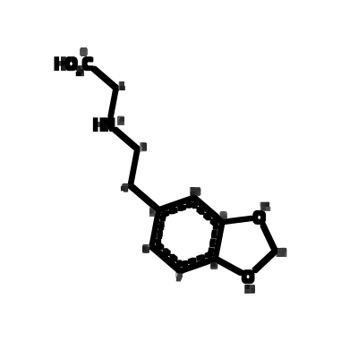 O=C(O)CNCCc1ccc2c(c1)OCO2